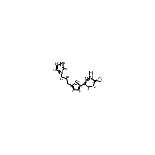 O=C1CCC(c2ccc(CCCn3ccnc3)s2)=NN1